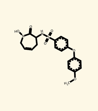 COc1ccc(Oc2ccc(S(=O)(=O)NC3CC=CCN(O)C3=O)cc2)cc1